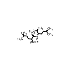 C=C(C)CCC(NC(=C)C(CCC(=C)C)NCC)C(=C)C